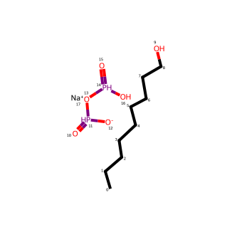 CCCCCCCCCO.O=[PH]([O-])O[PH](=O)O.[Na+]